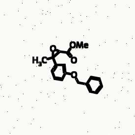 COC(=O)C1OC1(C)c1cccc(OCc2ccccc2)c1